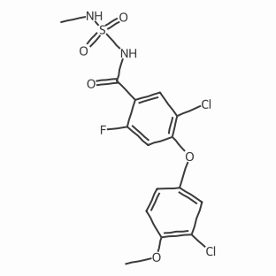 CNS(=O)(=O)NC(=O)c1cc(Cl)c(Oc2ccc(OC)c(Cl)c2)cc1F